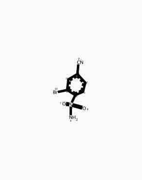 N#Cc1ccc(S(N)(=O)=O)c(Br)c1